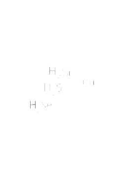 S.[Cu].[SeH2].[SiH4]